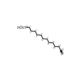 CCCCCCCCCCCCCCCCCCCC#P